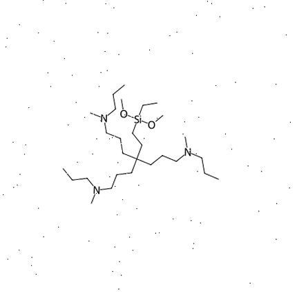 CCCN(C)CCCC(CCCN(C)CCC)(CCCN(C)CCC)CC[Si](CC)(OC)OC